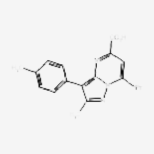 Cc1ccc(-c2c(C)nn3c(C(C)C)cc(C(=O)O)nc23)cc1